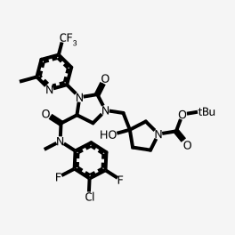 Cc1cc(C(F)(F)F)cc(N2C(=O)N(CC3(O)CCN(C(=O)OC(C)(C)C)C3)CC2C(=O)N(C)c2ccc(F)c(Cl)c2F)n1